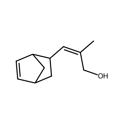 CC(=CC1CC2C=CC1C2)CO